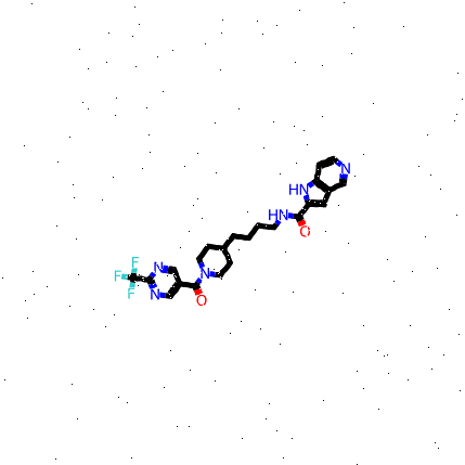 O=C(NCCCCC1CCN(C(=O)c2cnc(C(F)(F)F)nc2)CC1)c1cc2cnccc2[nH]1